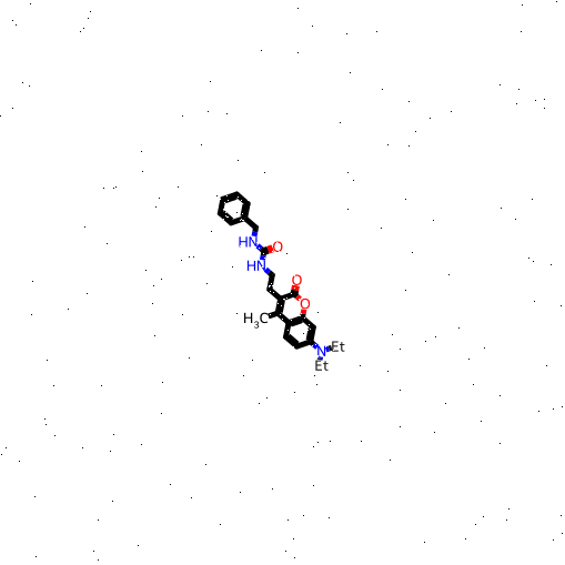 CCN(CC)c1ccc2c(C)c(CCNC(=O)NCc3ccccc3)c(=O)oc2c1